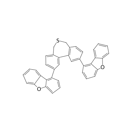 c1ccc2c(c1)oc1cccc(-c3ccc4c(c3)-c3cc(-c5cccc6oc7ccccc7c56)ccc3CSC4)c12